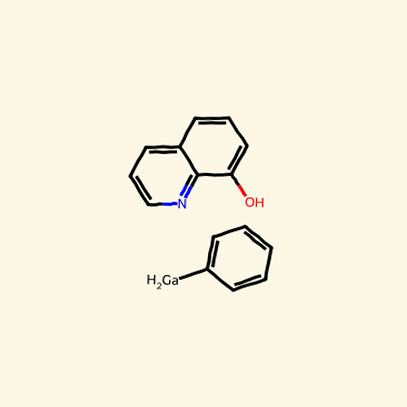 Oc1cccc2cccnc12.[GaH2][c]1ccccc1